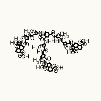 Cn1cc(NC(=O)c2ccc(C(=O)Nc3cc(C(=O)Nc4cc(C(=O)Nc5ccc6c(S(=O)(=O)O)cccc6c5S(=O)(=O)O)n(C)c4)n(C)c3)c(C(=O)Nc3cc(C(=O)Nc4cc(C(=O)Nc5ccc6c(S(=O)(=O)O)cccc6c5S(=O)(=O)O)n(C)c4)n(C)c3)c2)cc1C(=O)Nc1cc(C(=O)Nc2ccc3c(S(=O)(=O)O)cccc3c2S(=O)(=O)O)n(C)c1